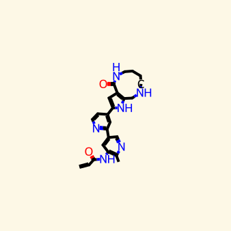 C=CC(=O)Nc1cc(-c2cc(-c3cc4c([nH]3)CNCCCCNC4=O)ccn2)cnc1C